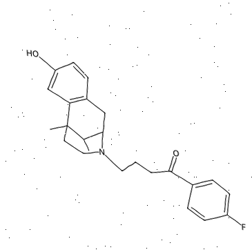 CC1C2Cc3ccc(O)cc3C1(C)CCN2CCCC(=O)c1ccc(F)cc1